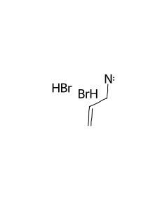 Br.Br.C=CC[N]